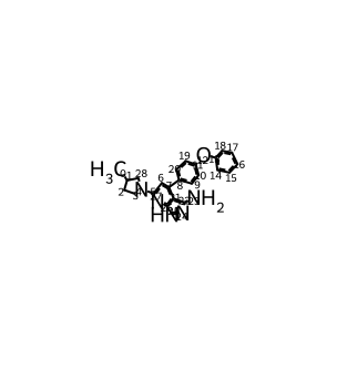 CC1CCN(c2cc(-c3ccc(Oc4ccccc4)cc3)c3c(N)n[nH]c3n2)C1